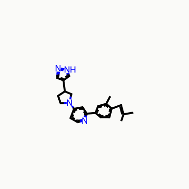 CC(C)=Cc1ccc(-c2cc(N3CCC(c4cn[nH]c4)C3)ccn2)cc1C